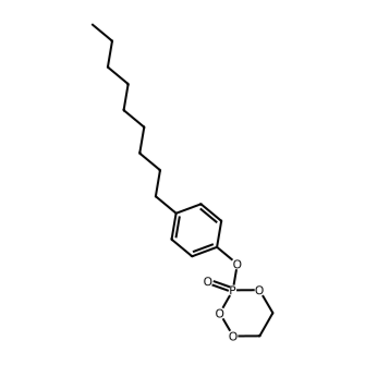 CCCCCCCCCc1ccc(OP2(=O)OCCOO2)cc1